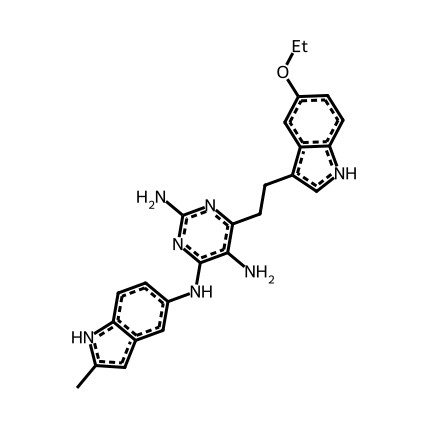 CCOc1ccc2[nH]cc(CCc3nc(N)nc(Nc4ccc5[nH]c(C)cc5c4)c3N)c2c1